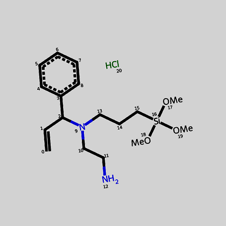 C=CC(c1ccccc1)N(CCN)CCC[Si](OC)(OC)OC.Cl